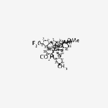 COC[C@H]1C[C@H](c2ccc(C(F)(F)F)cc2N2CCC(C(=O)O)CC2)CN1C(=O)[C@]1(C)CN([C@H]2CC[C@H](C)CC2)C[C@H]1c1ccc(OC)cc1